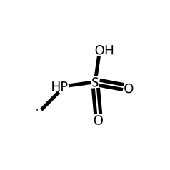 [CH2]PS(=O)(=O)O